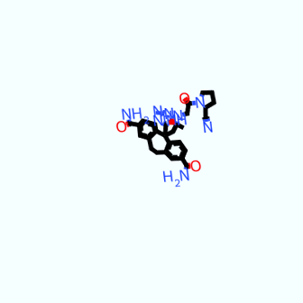 CC(C)(CC1(c2nnn[nH]2)c2ccc(C(N)=O)cc2CCc2cc(C(N)=O)ccc21)NCC(=O)N1CCCC1C#N